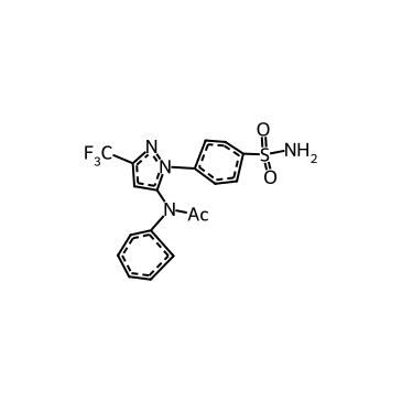 CC(=O)N(c1ccccc1)c1cc(C(F)(F)F)nn1-c1ccc(S(N)(=O)=O)cc1